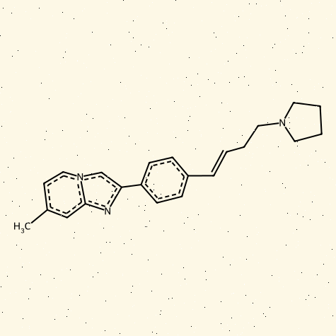 Cc1ccn2cc(-c3ccc(/C=C/CCN4CCCC4)cc3)nc2c1